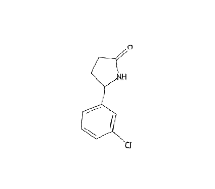 O=C1CCC(c2cccc(Cl)c2)N1